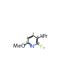 COc1ccc(C(C)C)c(F)n1